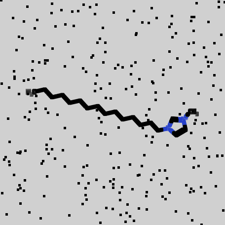 CCCCCCCCCCCCCCCn1cc[n+](C)c1